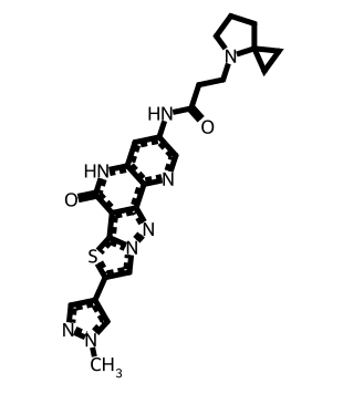 Cn1cc(-c2cn3nc4c5ncc(NC(=O)CCN6CCCC67CC7)cc5[nH]c(=O)c4c3s2)cn1